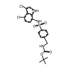 CC(C)(C)OC(=O)NCc1ccc(S(=O)(=O)Nc2ccc(Cl)c3c(Cl)c[nH]c23)cc1